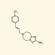 Nc1nc2c(s1)CCN(C/C=C/c1ccc(C(F)(F)F)cc1)CC2